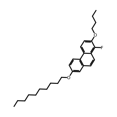 CCCCCCCCCCOc1ccc2c(ccc3c(F)c(OCCCC)ccc32)c1